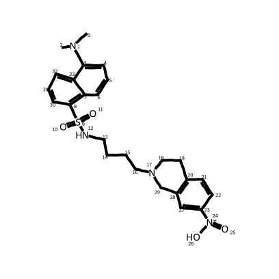 CN(C)c1cccc2c(S(=O)(=O)NCCCCN3CCc4ccc([N+](=O)O)cc4C3)cccc12